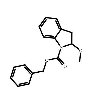 COC1Cc2ccccc2N1C(=O)OCc1ccccc1